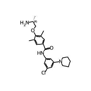 Cc1cc(C(=O)Nc2cc(Cl)cc(N3CCCCC3)c2)cc(C)c1OC[C@@H](C)N